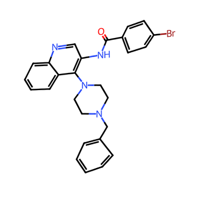 O=C(Nc1cnc2ccccc2c1N1CCN(Cc2ccccc2)CC1)c1ccc(Br)cc1